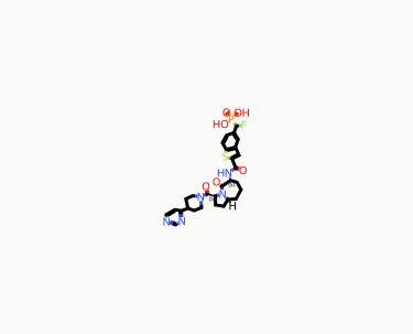 O=C(N[C@H]1CCC[C@H]2CC[C@@H](C(=O)N3CCC(c4ccncn4)CC3)N2C1=O)c1cc2cc(C(F)P(=O)(O)O)ccc2s1